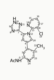 CC(=O)Nc1cc(-c2cc(-c3nc[nH]n3)n(-c3ncccc3Cl)c2)c(C)cn1